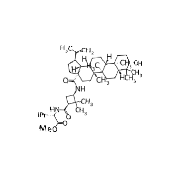 C=C(C)[C@@H]1CC[C@]2(C(=O)N[C@@H]3C[C@H](C(=O)N[C@H](C(=O)OC)C(C)C)C3(C)C)CC[C@]3(C)[C@H](CC[C@@H]4[C@@]5(C)CC[C@H](O)C(C)(C)[C@@H]5CC[C@]43C)[C@@H]12